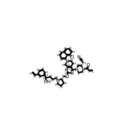 C=CC(=O)N1CCN(c2nc(OC[C@@H]3CCCN3CCCC(O)c3cccc(C=C)c3)nc3c2CCN(c2cccc4cccc(Cl)c24)C3)C[C@@H]1CC#N